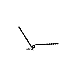 C#CC#CC#CC#CC#CC#CC#CC#CC#CC#CC#COc1ccc(C(=O)OC)c(OC#CC#CC#CC#CC#CC#CC#CC#CC#CC#CC#C)c1